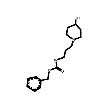 O=C(NCCCN1CCC(O)CC1)OCc1ccccc1